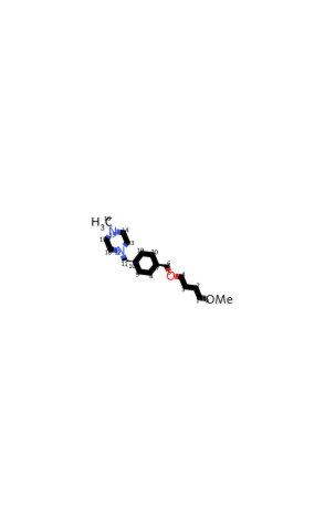 COCCCCOC[C@H]1CC[C@H](CN2CCN(C)CC2)CC1